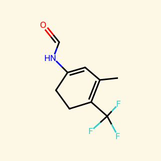 CC1=C(C(F)(F)F)CCC(NC=O)=C1